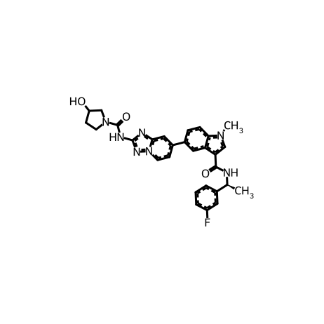 C[C@H](NC(=O)c1cn(C)c2ccc(-c3ccn4nc(NC(=O)N5CCC(O)C5)nc4c3)cc12)c1cccc(F)c1